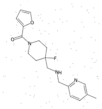 Cc1ccc(CNCC2(F)CCN(C(=O)c3ccco3)CC2)nc1